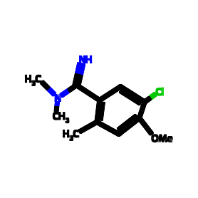 COc1cc(C)c(C(=N)N(C)C)cc1Cl